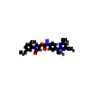 Cc1ccc(C)c(N2CC(OC(=O)Nc3ccc(N(C)c4nc(C)cc(C)n4)cc3)CC2=O)c1